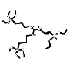 CCO[Si](C)(C=C[SiH2]C(NCCC[Si](OC)(OC)OC)NCCC[Si](OC)(OC)OC)OCC